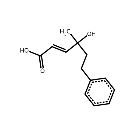 CC(O)(C=CC(=O)O)CCc1ccccc1